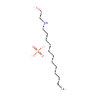 CCCCCCCCCCCCNCCO.O=S(=O)(O)O